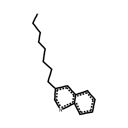 [CH2]CCCCCCCc1cnc2ccccc2c1